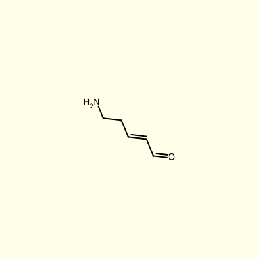 NCCC=C[C]=O